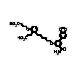 NC(=O)c1cc(OCCCCCCc2cccc(OCCCC(=O)O)c2CCC(=O)O)cc(-c2ccc3c(c2)OCO3)c1